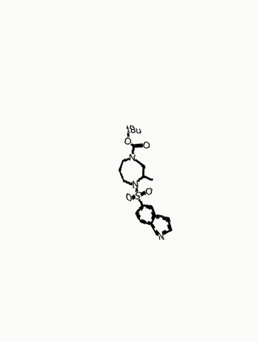 CC1CN(C(=O)OC(C)(C)C)CCCN1S(=O)(=O)c1ccc2cnccc2c1